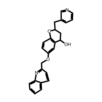 OC1CC(Cc2cccnc2)Oc2ccc(OCc3ccc4ccccc4n3)cc21